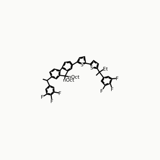 CCCCCCCCC1(CCCCCCCC)c2cc(-c3ccc(-c4ccc(C(C)(CC)c5cc(F)c(F)c(F)c5)s4)s3)ccc2-c2ccc(C(C)c3cc(F)c(F)c(F)c3)cc21